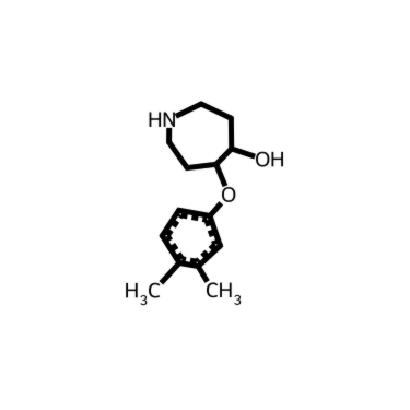 Cc1ccc(OC2CCNCCC2O)cc1C